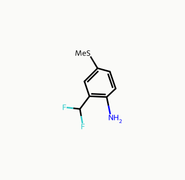 CSc1ccc(N)c(C(F)F)c1